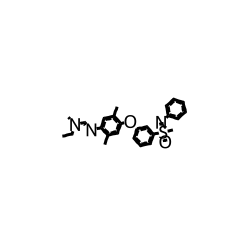 CCN(C)C=Nc1cc(C)c(Oc2cccc(S(C)(=O)=Nc3ccccc3)c2)cc1C